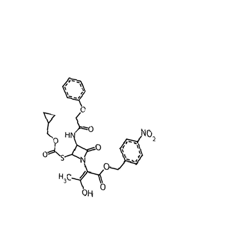 CC(O)=C(C(=O)OCc1ccc([N+](=O)[O-])cc1)N1C(=O)C(NC(=O)COc2ccccc2)C1SC(=O)OCC1CC1